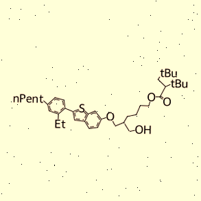 CCCCCc1ccc(-c2cc3ccc(OCC(CO)CCCCOC(=O)C(CC(C)(C)C)C(C)(C)C)cc3s2)c(CC)c1